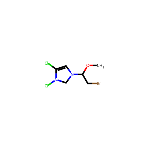 COC(CBr)N1C=C(Cl)N(Cl)C1